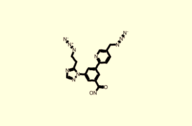 [N-]=[N+]=NCCc1ncnn1-c1cc(C(=O)N=O)cc(-c2ccc(CN=[N+]=[N-])cn2)c1